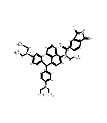 CCN(CC)c1ccc(C(c2ccc(N(CC)CC)cc2)c2ccc(N(CC)C(=O)c3ccc4c(c3)C(=O)OC4=O)c3ccccc23)cc1